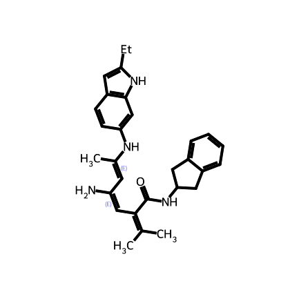 CCc1cc2ccc(N/C(C)=C/C(N)=C\C(C(=O)NC3Cc4ccccc4C3)=C(C)C)cc2[nH]1